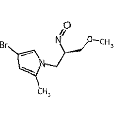 COC[C@@H](Cn1cc(Br)cc1C)N=O